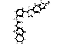 CCn1cc2ncc(N[C@@H](C)c3cccc(NC(=O)Cc4ccc5c(n4)CCCC5)c3)nc2n1